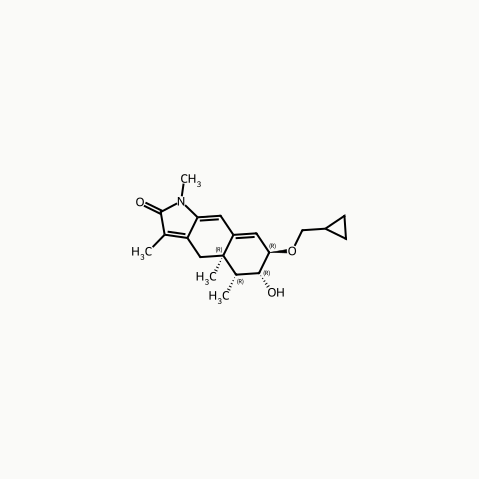 CC1=C2C[C@@]3(C)C(=C[C@@H](OCC4CC4)[C@H](O)[C@@H]3C)C=C2N(C)C1=O